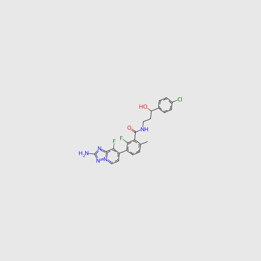 Cc1ccc(-c2ccn3nc(N)nc3c2F)c(F)c1C(=O)NCCC(O)c1ccc(Cl)cc1